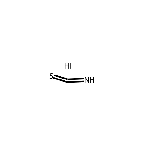 I.N=C=S